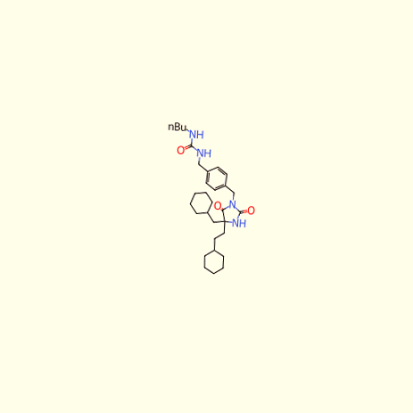 CCCCNC(=O)NCc1ccc(CN2C(=O)NC(CCC3CCCCC3)(CC3CCCCC3)C2=O)cc1